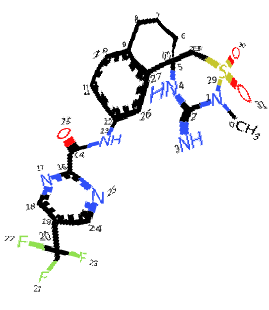 CN1C(=N)N[C@@]2(CCCc3ccc(NC(=O)c4ncc(C(F)(F)F)cn4)cc32)CS1(=O)=O